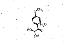 COc1ccc(C(=O)C(O)O)cc1.O